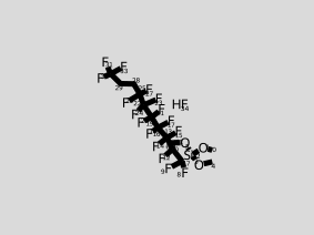 CO[Si](OC)(OC)C(F)(F)C(F)(F)C(F)(F)C(F)(F)C(F)(F)C(F)(F)C(F)(F)CCC(F)(F)F.F